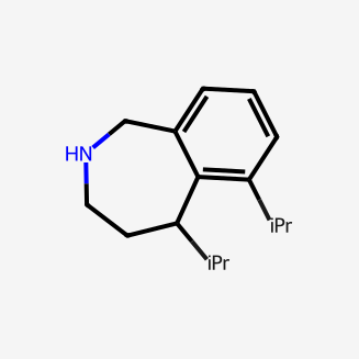 CC(C)c1cccc2c1C(C(C)C)CCNC2